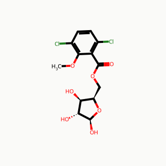 COc1c(Cl)ccc(Cl)c1C(=O)OC[C@H]1O[C@@H](O)[C@H](O)[C@H]1O